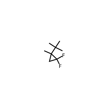 CC(C)(C)C1(C)CC1(F)F